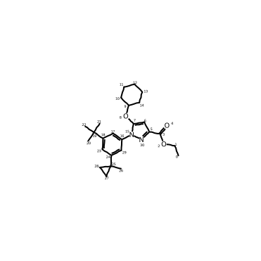 CCOC(=O)c1cc(OC2CCCCC2)n(-c2cc(C(C)(C)C)cc(C3(C)CC3)c2)n1